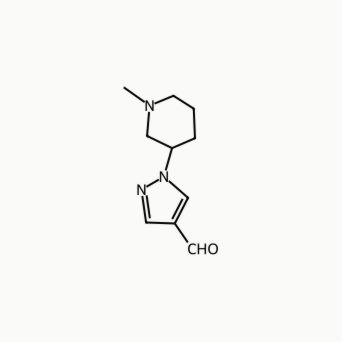 CN1CCCC(n2cc(C=O)cn2)C1